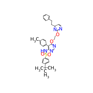 Cc1ccc(-c2c(NS(=O)(=O)c3ccc(C(C)(C)C)cc3)ncnc2OCCOc2nccc(CCc3ccccc3)n2)cc1